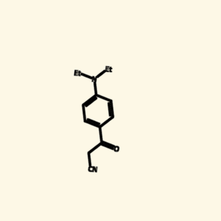 CCN(CC)c1ccc(C(=O)CC#N)cc1